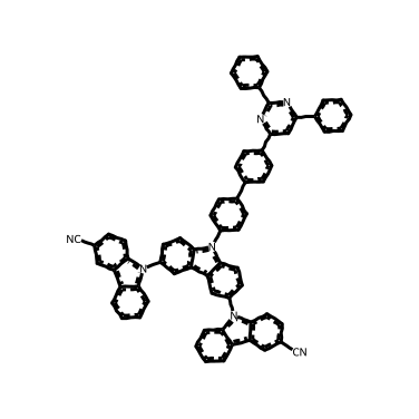 N#Cc1ccc2c(c1)c1ccccc1n2-c1ccc2c(c1)c1cc(-n3c4ccccc4c4cc(C#N)ccc43)ccc1n2-c1ccc(-c2ccc(-c3cc(-c4ccccc4)nc(-c4ccccc4)n3)cc2)cc1